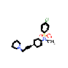 CN([C@H]1CC[C@H](C#CCN2CCCCC2)CC1)S(=O)(=O)c1ccc(Cl)cc1